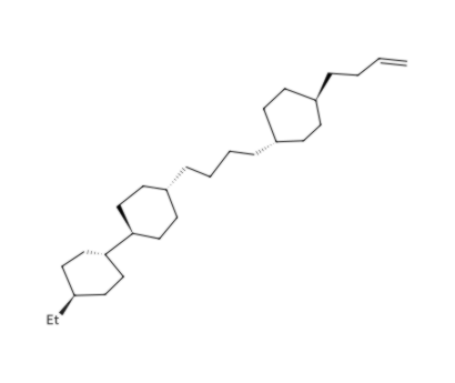 C=CCC[C@H]1CC[C@H](CCCC[C@H]2CC[C@H]([C@H]3CC[C@H](CC)CC3)CC2)CC1